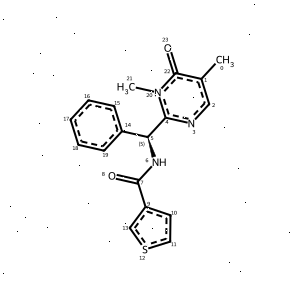 Cc1cnc([C@@H](NC(=O)c2ccsc2)c2ccccc2)n(C)c1=O